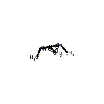 CCCCCCCC/C=C\COC(=O)CCCCCN(CCCCCC(=O)OC/C=C\CCCCCCCCC)C(=O)CSCCN(C)C